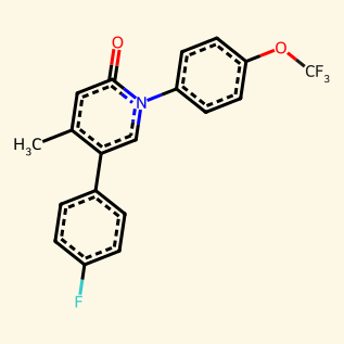 Cc1cc(=O)n(-c2ccc(OC(F)(F)F)cc2)cc1-c1ccc(F)cc1